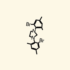 Cc1cc(C)c(N2CCN(c3c(C)cc(C)cc3Br)C2)c(Br)c1